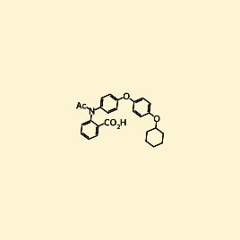 CC(=O)N(c1ccc(Oc2ccc(OC3CCCCC3)cc2)cc1)c1ccccc1C(=O)O